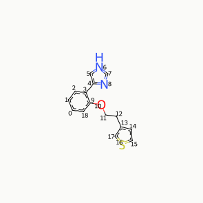 c1ccc(-c2c[nH]cn2)c(OCCc2ccsc2)c1